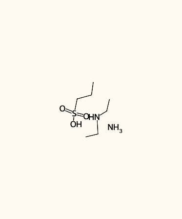 CCCS(=O)(=O)O.CCNCC.N